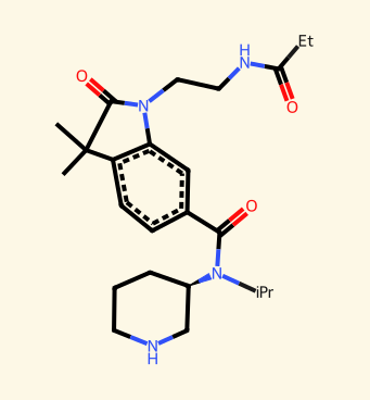 CCC(=O)NCCN1C(=O)C(C)(C)c2ccc(C(=O)N(C(C)C)[C@@H]3CCCNC3)cc21